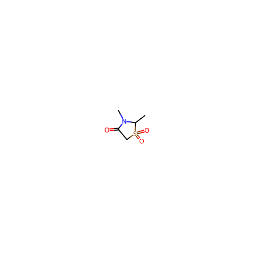 CC1N(C)C(=O)CS1(=O)=O